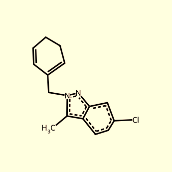 Cc1c2ccc(Cl)cc2nn1CC1=CCCC=C1